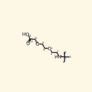 CC(C)(C)NCCOCCOCC(=O)O